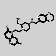 O=c1ccc2ncc(F)cc2n1CCN1CC[C@H](NCc2cc3c(cn2)OCCO3)C[C@@H]1CO